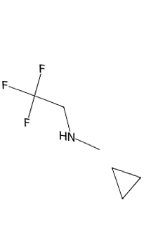 C1CC1.CNCC(F)(F)F